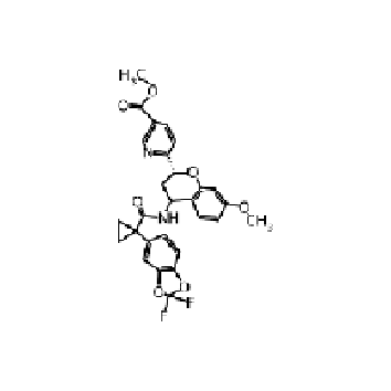 COC(=O)c1ccc([C@H]2C[C@H](NC(=O)C3(c4ccc5c(c4)OC(F)(F)O5)CC3)c3ccc(OC)cc3O2)nc1